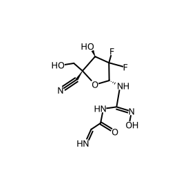 N#C[C@]1(CO)O[C@@H](N/C(=N/O)NC(=O)C=N)C(F)(F)[C@@H]1O